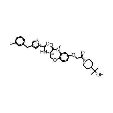 CN1C(=O)[C@@H](NC(=O)n2cc(Cc3cccc(F)c3)cn2)COc2ccc(OCC(=O)N3CCC(C(C)(C)O)CC3)cc21